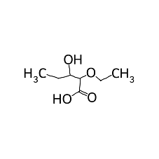 CCOC(C(=O)O)C(O)CC